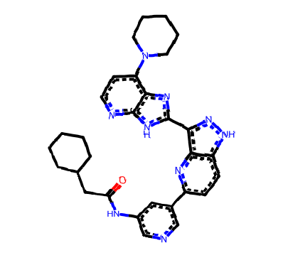 O=C(CC1CCCCC1)Nc1cncc(-c2ccc3[nH]nc(-c4nc5c(N6CCCCC6)ccnc5[nH]4)c3n2)c1